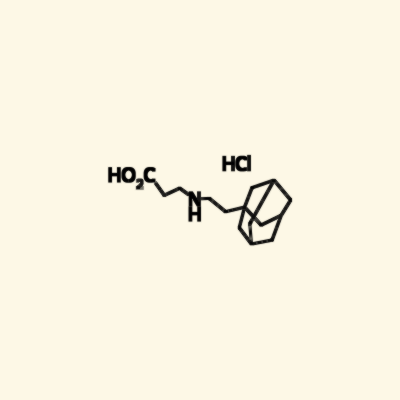 Cl.O=C(O)CCNCCC12CC3CC(CC(C3)C1)C2